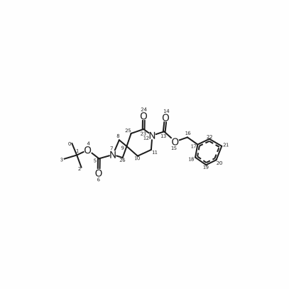 CC(C)(C)OC(=O)N1CC2(CCN(C(=O)OCc3ccccc3)C(=O)C2)C1